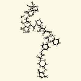 CC[C@H](C)[C@@H]([C@@H](CC(=O)N1CCC[C@H]1[C@H](OC)[C@@H](C)C(=O)N[C@@H](Cc1ccccc1)C(=O)Nc1ccc(CNC(=O)C2CCC(CN3C(=O)C=CC3=O)CC2)cc1)OC)N(C)C(=O)[C@@H](NC(=O)[C@@H]1[C@H]2CC[C@H](C2)N1C)C(C)C